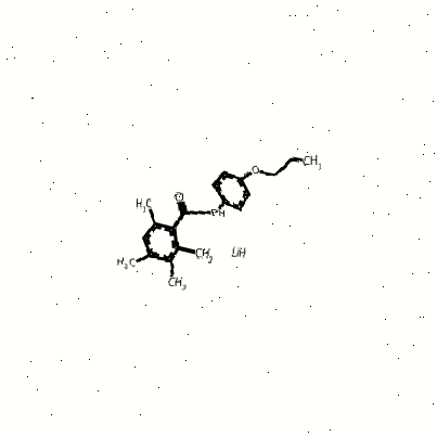 CCCOc1ccc(PC(=O)c2c(C)cc(C)c(C)c2C)cc1.[LiH]